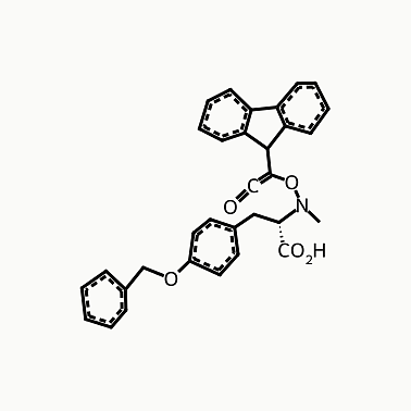 CN(OC(=C=O)C1c2ccccc2-c2ccccc21)[C@@H](Cc1ccc(OCc2ccccc2)cc1)C(=O)O